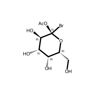 CC(=O)O[C@@]1(Br)O[C@H](CO)[C@H](O)[C@H](O)[C@H]1O